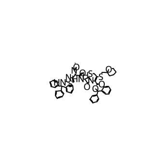 CO/N=C(\C(=O)NC1C(=O)N2C(C(=O)OC(c3ccccc3)c3ccccc3)=C(SCC3CCCCO3)CS[C@@H]12)c1csc(NC(c2ccccc2)(c2ccccc2)c2ccccc2)n1